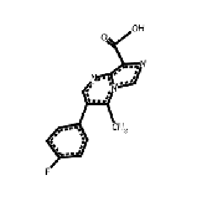 Cc1c(-c2ccc(F)cc2)cnc2c(C(=O)O)ncn12